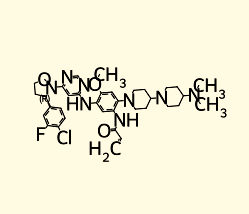 C=CC(=O)Nc1cc(Nc2cc(N3OCC[C@@H]3c3ccc(Cl)c(F)c3)ncn2)c(OC)cc1N1CCC(N2CCC(N(C)C)CC2)CC1